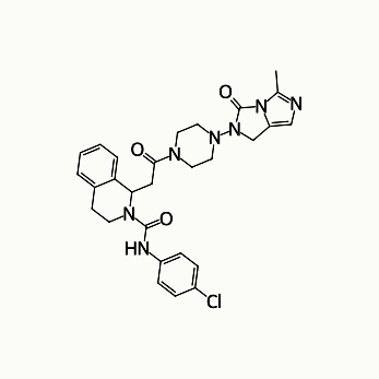 Cc1ncc2n1C(=O)N(N1CCN(C(=O)CC3c4ccccc4CCN3C(=O)Nc3ccc(Cl)cc3)CC1)C2